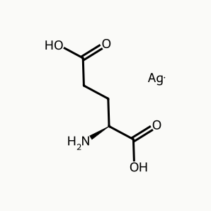 N[C@@H](CCC(=O)O)C(=O)O.[Ag]